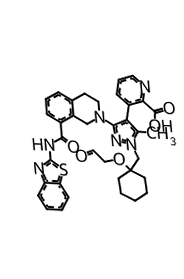 Cc1c(-c2cccnc2C(=O)O)c(N2CCc3cccc(C(=O)Nc4nc5ccccc5s4)c3C2)nn1CC1(OCC=O)CCCCC1